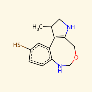 CC1CNC2=C1c1cc(S)ccc1NCOC2